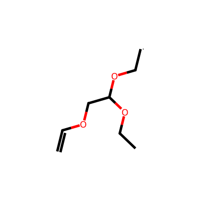 [CH2]COC(COC=C)OCC